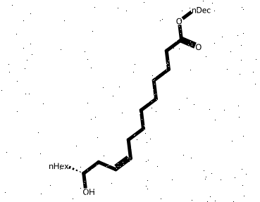 CCCCCCCCCCOC(=O)CCCCCCC/C=C\C[C@H](O)CCCCCC